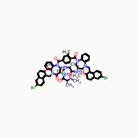 CN[C@@H](C)C(=O)N[C@H]1CN(C(=O)c2ccc(C(=O)N3C[C@H](NC(=O)[C@H](C)NC)C(=O)N(Cc4c(OC)ccc5cc(Br)ccc45)c4ccccc43)c(C)c2)c2ccccc2N(Cc2c(OC)ccc3cc(Br)ccc23)C1=O